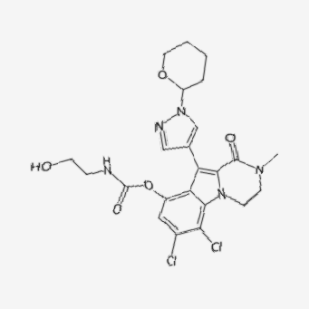 CN1CCn2c(c(-c3cnn(C4CCCCO4)c3)c3c(OC(=O)NCCO)cc(Cl)c(Cl)c32)C1=O